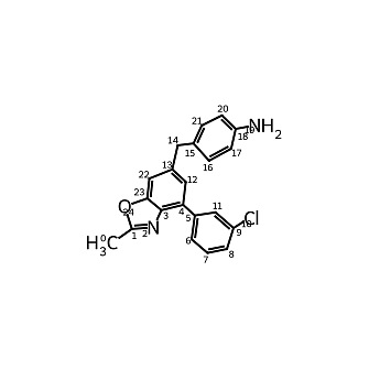 Cc1nc2c(-c3cccc(Cl)c3)cc(Cc3ccc(N)cc3)cc2o1